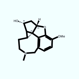 COc1ccc2c3c1O[C@H]1C[C@@H](O)C4C(CCN(C)C2)[C@]341